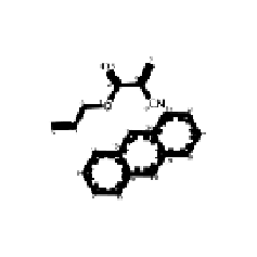 C=CCOC(=O)C(=C)C#N.c1ccc2cc3ccccc3cc2c1